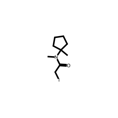 CN(C(=O)CI)C1(C)CCCC1